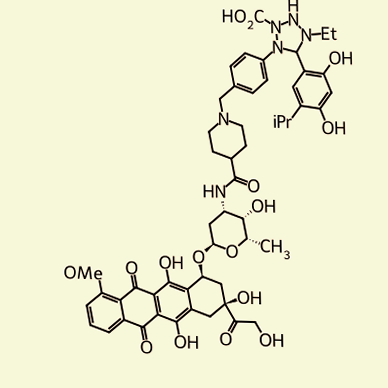 CCN1NN(C(=O)O)N(c2ccc(CN3CCC(C(=O)N[C@H]4C[C@H](O[C@H]5C[C@](O)(C(=O)CO)Cc6c(O)c7c(c(O)c65)C(=O)c5c(OC)cccc5C7=O)O[C@@H](C)[C@H]4O)CC3)cc2)C1c1cc(C(C)C)c(O)cc1O